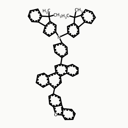 CC1(C)c2ccccc2-c2ccc(N(c3ccc(-c4cc5c6ccccc6c(-c6ccc7oc8ccccc8c7c6)cc5c5ccccc45)cc3)c3ccc4c(c3)C(C)(C)c3ccccc3-4)cc21